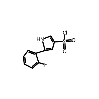 O=S(=O)(Cl)c1c[nH]c(-c2ccccc2F)c1